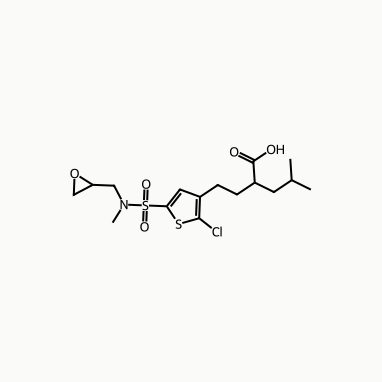 CC(C)CC(CCc1cc(S(=O)(=O)N(C)CC2CO2)sc1Cl)C(=O)O